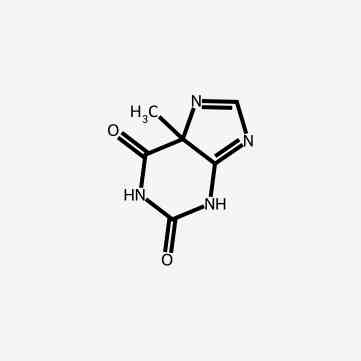 CC12N=CN=C1NC(=O)NC2=O